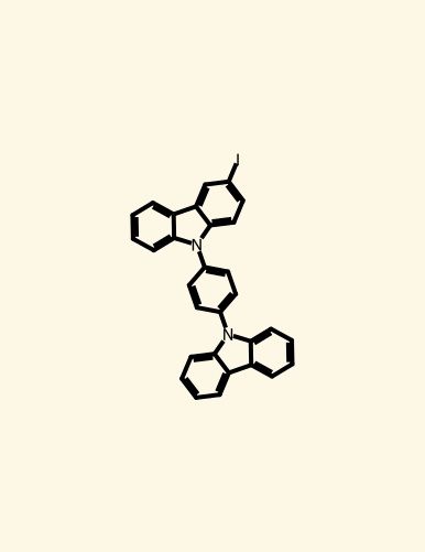 Ic1ccc2c(c1)c1ccccc1n2-c1ccc(-n2c3ccccc3c3ccccc32)cc1